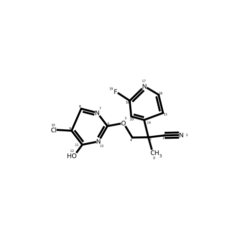 CC(C#N)(COc1ncc(Cl)c(O)n1)c1ccnc(F)c1